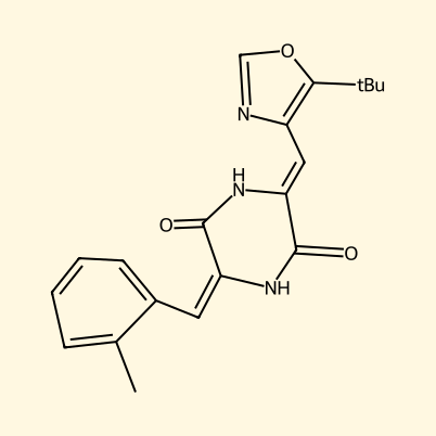 Cc1ccccc1C=c1[nH]c(=O)c(=Cc2ncoc2C(C)(C)C)[nH]c1=O